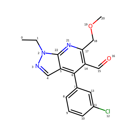 CCn1ncc2c(-c3cccc(Cl)c3)c(C=O)c(COC)nc21